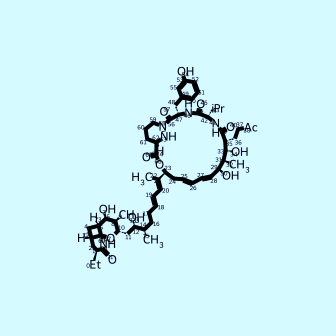 CC[C@H]1C[C@@H]2C[C@H]3[C@@H](O)[C@@H](C)[C@H](C[C@H](O)[C@@H](C)CC/C=C/C=C(\C)[C@@H]4C/C=C/C=C/[C@H](O)[C@H](C)[C@@H](O)[C@@H](CCC(C)=O)C(=O)N[C@@H](C(C)C)C(=O)N[C@@H](Cc5cccc(O)c5)C(=O)N5CCC[C@H](N5)C(=O)O4)O[C@]23NC1=O